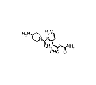 C=C(N=C(C=C(C=O)SC(N)=O)/C=C\N)N1CCC(N)CC1